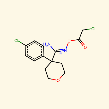 N/C(=N\OC(=O)CCl)C1(c2ccc(Cl)cc2)CCOCC1